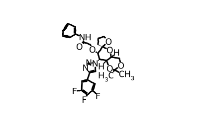 CC1(C)OC[C@H]2O[C@@]3(CCCO3)[C@H](OCC(=O)Nc3ccccc3)[C@@H](n3cc(-c4cc(F)c(F)c(F)c4)nn3)[C@H]2O1